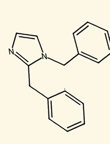 [c]1ccccc1Cc1nccn1Cc1ccccc1